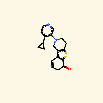 O=C1CC=Cc2c1sc1c2CN(c2cnccc2C2CC2)CC1